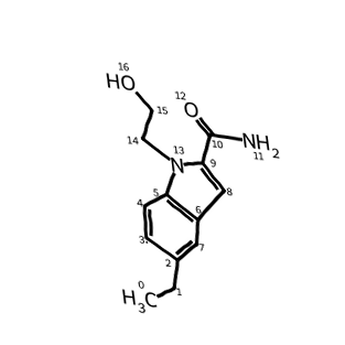 CCc1[c]cc2c(c1)cc(C(N)=O)n2CCO